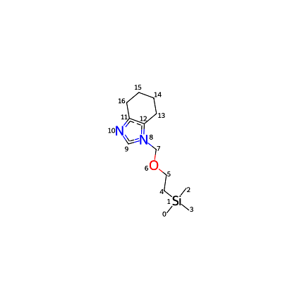 C[Si](C)(C)CCOCn1cnc2c1CCCC2